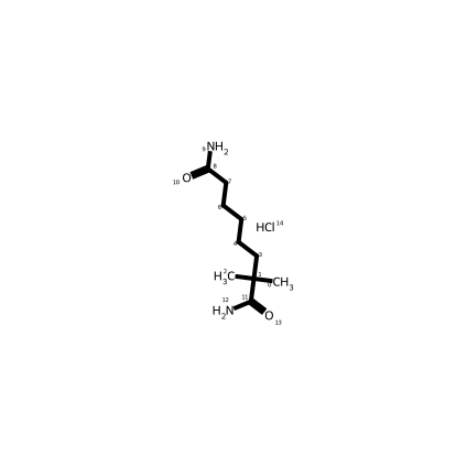 CC(C)(CCCCCC(N)=O)C(N)=O.Cl